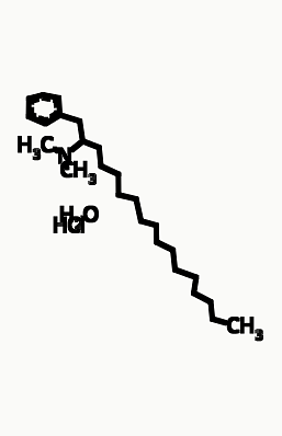 CCCCCCCCCCCCCCCC(Cc1ccccc1)N(C)C.Cl.O